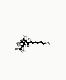 CCCCCCCC(=O)C(C)(C(=O)O)C(O)(C(=O)O)C(C)(C)C(=O)O